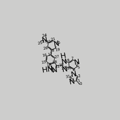 Cc1cn(-c2cncc3[nH]c(-c4n[nH]c5ccc(-c6cncc(N(C)C)c6)cc45)nc23)cn1